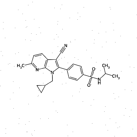 Cc1ccc2c(C#N)c(-c3ccc(S(=O)(=O)NC(C)C)cc3)n(CC3CC3)c2n1